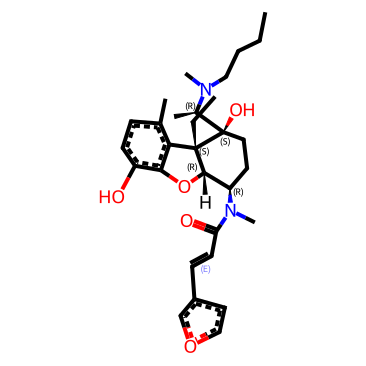 CCCCN(C)[C@H](C)[C@]1(O)CC[C@@H](N(C)C(=O)/C=C/c2ccoc2)[C@@H]2Oc3c(O)ccc(C)c3[C@@]21CC